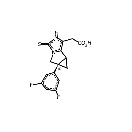 O=C(O)Cc1[nH]c(=S)n2c1C1C[C@]1(c1cc(F)cc(F)c1)C2